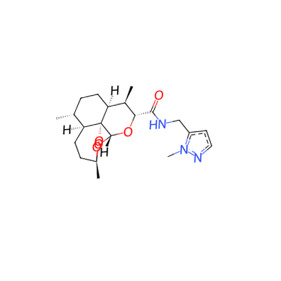 C[C@H]1[C@H](C(=O)NCc2ccnn2C)O[C@@H]2O[C@@]3(C)CC[C@H]4[C@H](C)CC[C@@H]1[C@@]24OO3